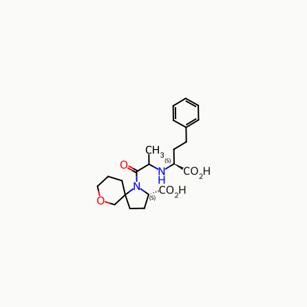 CC(N[C@@H](CCc1ccccc1)C(=O)O)C(=O)N1[C@H](C(=O)O)CCC12CCCOC2